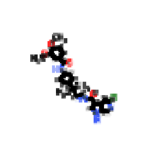 COc1ccc(C(=O)Nc2ccc(C(C)(C)CCNC(=O)c3c[nH]c4cnc(Cl)cc34)cc2)cc1OC